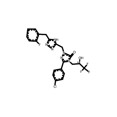 O=c1n(Cc2nnc(Cc3ccccc3F)[nH]2)nc(-c2ccc(Cl)cc2)n1C[C@@H](O)C(F)(F)F